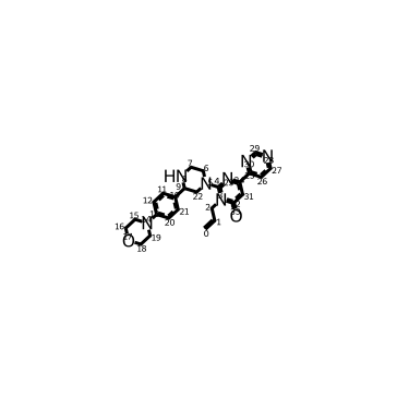 C=CCn1c(N2CCNC(c3ccc(N4CCOCC4)cc3)C2)nc(-c2ccncn2)cc1=O